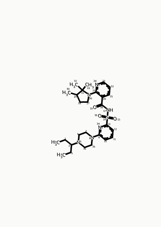 CCC(CC)N1CCN(c2cccc(S(=O)(=O)NC(=O)c3cccnc3N3CCC(C)C3(C)C)n2)CC1